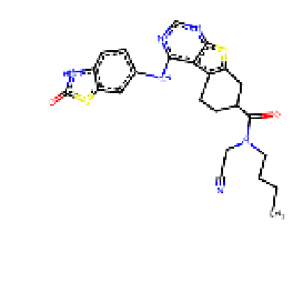 CCCCN(CC#N)C(=O)C1CCc2c(sc3ncnc(Nc4ccc5[nH]c(=O)sc5c4)c23)C1